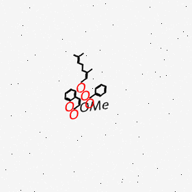 COc1c(OC(=O)c2ccccc2)c2c(OCC=C(C)CCC=C(C)C)cccc2oc1=O